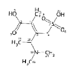 C/C(C(=O)O)=C(\CS(=O)(=O)O)C(C)N(C)C